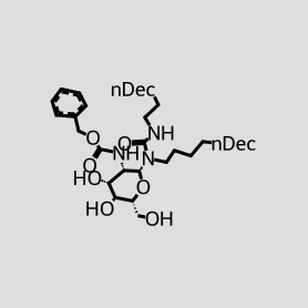 CCCCCCCCCCCCCCN(C(=O)NCCCCCCCCCCCC)[C@@H]1O[C@H](CO)[C@@H](O)[C@H](O)[C@@H]1NC(=O)OCc1ccccc1